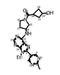 CCn1c(-c2cnc(C)nc2)nc2c(NC3CCN(C(=O)C4CC(O)C4)C3)ncnc21